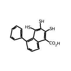 O=C(O)c1c(S)c(S)c(S)c2c(-c3ccccc3)cccc12